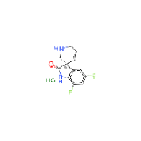 Cl.O=C1Nc2c(F)cc(F)cc2[C@]12C=CCNC2